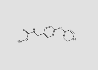 CC(C)(C)OC(=O)NCc1ccc(OC2=CCNC=C2)cc1